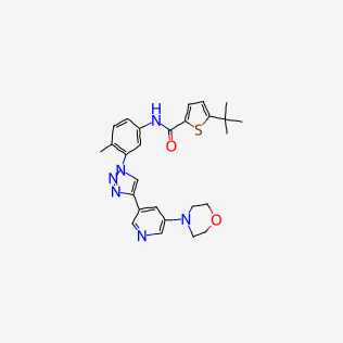 Cc1ccc(NC(=O)c2ccc(C(C)(C)C)s2)cc1-n1cc(-c2cncc(N3CCOCC3)c2)nn1